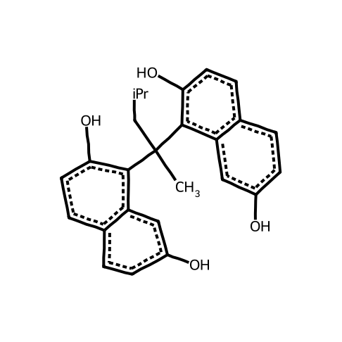 CC(C)CC(C)(c1c(O)ccc2ccc(O)cc12)c1c(O)ccc2ccc(O)cc12